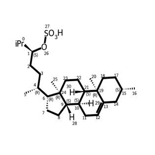 CC(C)[C@H](CC[C@@H](C)[C@H]1CC[C@H]2[C@@H]3CC=C4C[C@@H](C)CC[C@]4(C)[C@H]3CC[C@]12C)OS(=O)(=O)O